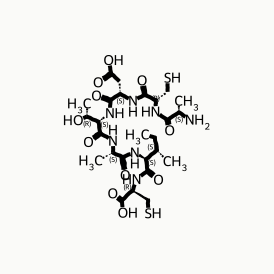 CC[C@H](C)[C@H](NC(=O)[C@H](C)NC(=O)[C@@H](NC(=O)[C@H](CC(=O)O)NC(=O)[C@H](CS)NC(=O)[C@H](C)N)[C@@H](C)O)C(=O)N[C@@H](CS)C(=O)O